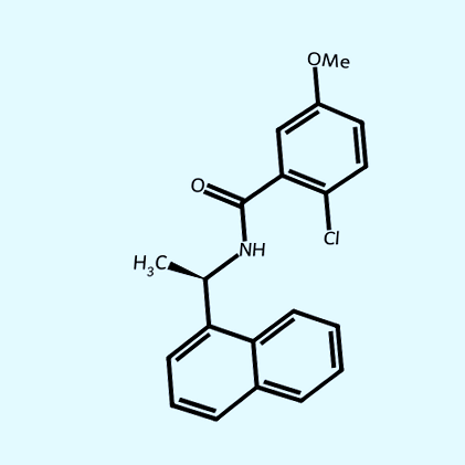 COc1ccc(Cl)c(C(=O)N[C@H](C)c2cccc3ccccc23)c1